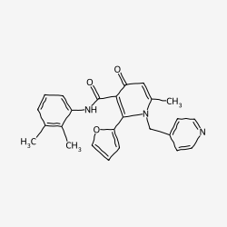 Cc1cccc(NC(=O)c2c(-c3ccco3)n(Cc3ccncc3)c(C)cc2=O)c1C